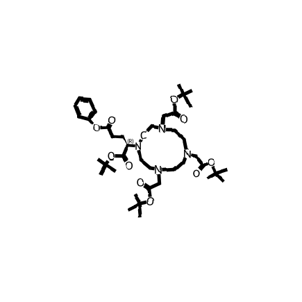 CC(C)(C)OC(=O)CN1CCN(CC(=O)OC(C)(C)C)CCN([C@H](CCC(=O)Oc2ccccc2)C(=O)OC(C)(C)C)CCN(CC(=O)OC(C)(C)C)CC1